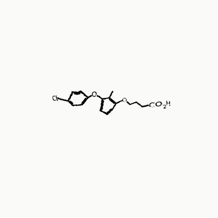 Cc1c(OCCCC(=O)O)cccc1Oc1ccc(Cl)cc1